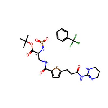 CC(C)(C)OC(=O)[C@H](CNC(=O)c1ccc(CCC(=O)NC2=NCCCN2)s1)N=S(=O)=O.FC(F)(F)c1ccccc1